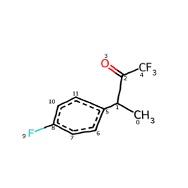 CC(C(=O)C(F)(F)F)c1ccc(F)cc1